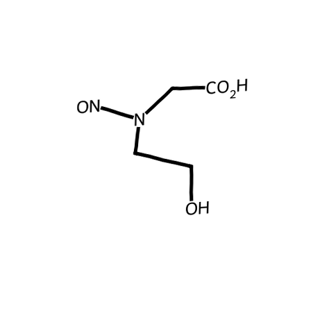 O=NN(CCO)CC(=O)O